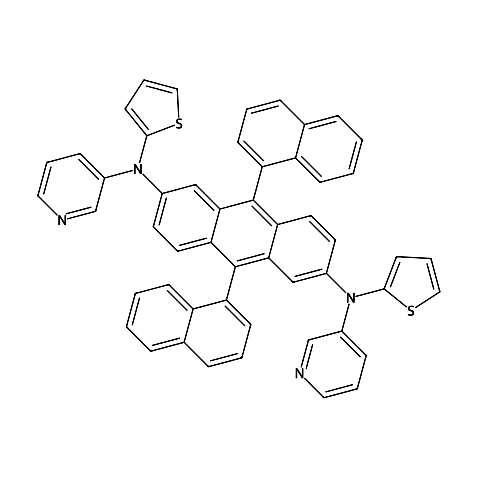 c1cncc(N(c2ccc3c(-c4cccc5ccccc45)c4cc(N(c5cccnc5)c5cccs5)ccc4c(-c4cccc5ccccc45)c3c2)c2cccs2)c1